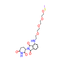 O=C1CCC(N2C(=O)c3cccc(NCCOCCOCCOCCOSI)c3C2=O)C(=O)N1